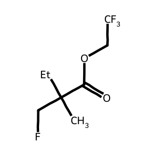 CCC(C)(CF)C(=O)OCC(F)(F)F